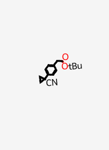 CC(C)(C)OC(=O)Cc1ccc(C2(C#N)CC2)cc1